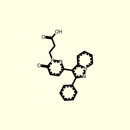 O=C(O)CCn1nc(-c2c(-c3ccccc3)nn3ccccc23)ccc1=O